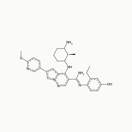 CCc1cc(O)ccc1/N=C(\N)c1cnn2cc(-c3ccc(OC)nc3)cc2c1NC1CCCC(N)[C@H]1C